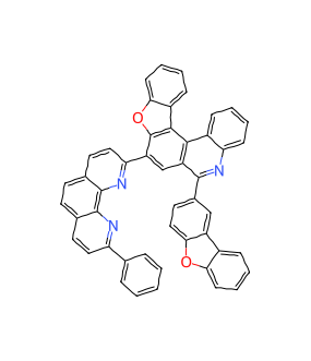 c1ccc(-c2ccc3ccc4ccc(-c5cc6c(-c7ccc8oc9ccccc9c8c7)nc7ccccc7c6c6c5oc5ccccc56)nc4c3n2)cc1